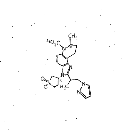 CC(Cn1cccn1)c1nc2c3c(ccc2n1[C@@H]1CCS(=O)(=O)C1)N(C(=O)O)[C@@H](C)CC3